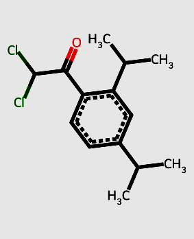 CC(C)c1ccc(C(=O)C(Cl)Cl)c(C(C)C)c1